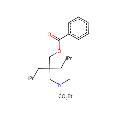 CCOC(=O)N(C)CC(COC(=O)c1ccccc1)(CC(C)C)CC(C)C